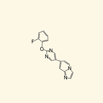 Fc1ccccc1Oc1ncc(-c2ccn3ccnc3c2)cn1